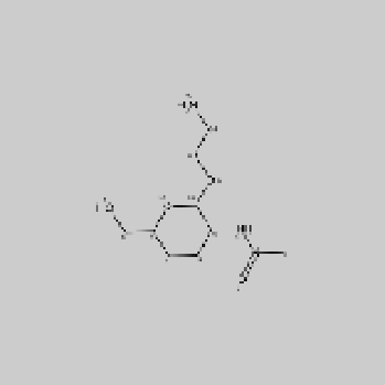 CC(=O)NC1CCC(CO)OC1OCCN